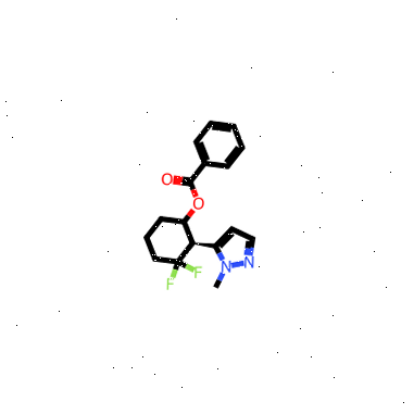 Cn1nccc1[C@@H]1C(OC(=O)c2ccccc2)CCCC1(F)F